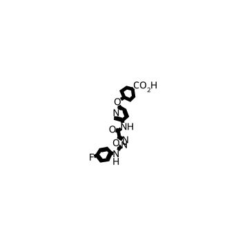 O=C(Nc1ccc(OC2CCC(C(=O)O)CC2)nc1)c1nnc(Nc2ccc(F)cc2)o1